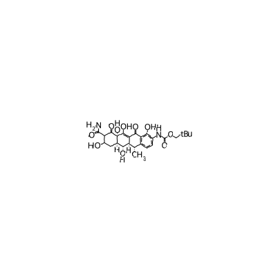 C[C@H]1c2ccc(NC(=O)OCC(C)(C)C)c(O)c2C(=O)C2=C(O)[C@]3(O)C(=O)C(C(N)=O)C(O)C[C@@H]3[C@@H](O)[C@@H]21